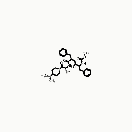 CC(C)[C@H](NC(=O)C(Cc1ccccc1)CC(O)C(Cc1ccccc1)NC(=O)OC(C)(C)C)C(=O)N1CCC(N(C)C)CC1